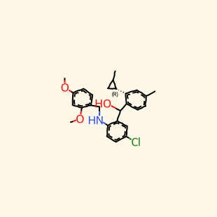 COc1ccc(CNc2ccc(Cl)cc2C(O)c2ccc(C)cc2[C@@H]2CC2C)c(OC)c1